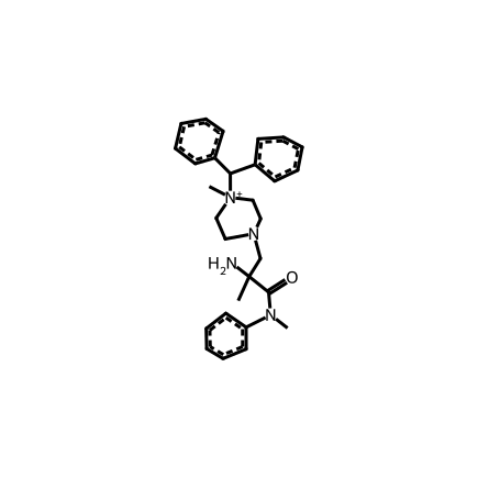 CN(C(=O)C(C)(N)CN1CC[N+](C)(C(c2ccccc2)c2ccccc2)CC1)c1ccccc1